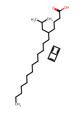 CCCCCCCCCCCCCC(CCCC(=O)O)CC(C)C.c1cc2ccc1-2